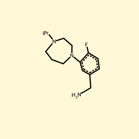 CC(C)N1CCCN(c2cc(CN)ccc2F)CC1